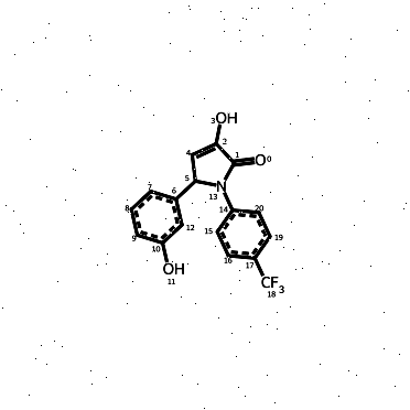 O=C1C(O)=CC(c2cccc(O)c2)N1c1ccc(C(F)(F)F)cc1